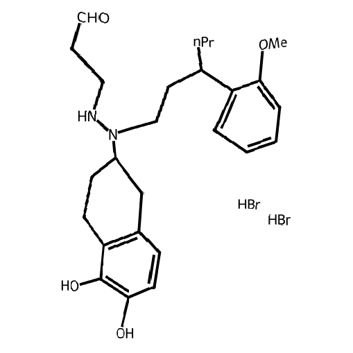 Br.Br.CCCC(CCN(NCCC=O)C1CCc2c(ccc(O)c2O)C1)c1ccccc1OC